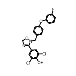 Oc1c(Cl)cc(C2=NCON2Cc2ccc(Oc3cccc(F)c3)cc2)cc1Cl